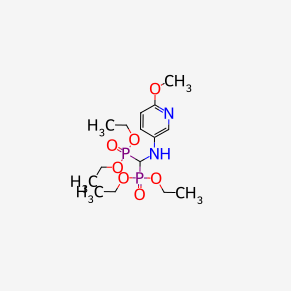 CCOP(=O)(OCC)C(Nc1ccc(OC)nc1)P(=O)(OCC)OCC